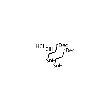 CCCCCCCCCCC[CH2][SnH].CCCCCCCCCCC[CH2][SnH].Cl.Cl